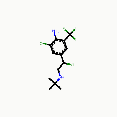 CC(C)(C)NCC(Cl)c1cc(Cl)c(N)c(C(F)(F)F)c1